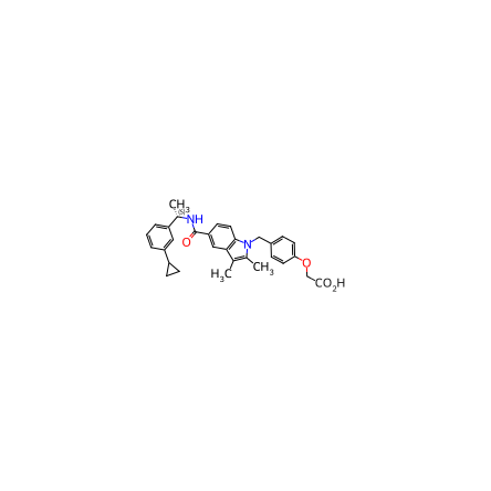 Cc1c(C)n(Cc2ccc(OCC(=O)O)cc2)c2ccc(C(=O)N[C@@H](C)c3cccc(C4CC4)c3)cc12